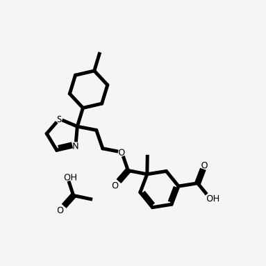 CC(=O)O.CC1CCC(C2(CCOC(=O)C3(C)C=CC=C(C(=O)O)C3)N=CCS2)CC1